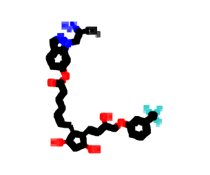 C[C@H](N)Cn1ncc2ccc(OC(=O)CCC/C=C\C[C@@H]3[C@@H](/C=C/[C@@H](O)COc4cccc(C(F)(F)F)c4)[C@H](O)C[C@@H]3O)cc21